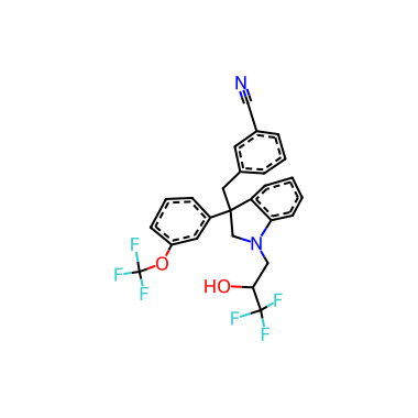 N#Cc1cccc(CC2(c3cccc(OC(F)(F)F)c3)CN(CC(O)C(F)(F)F)c3ccccc32)c1